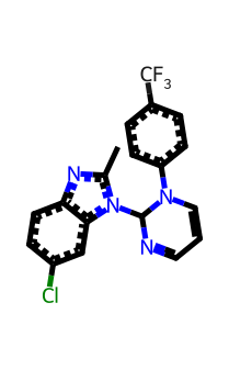 Cc1nc2ccc(Cl)cc2n1C1N=CC=CN1c1ccc(C(F)(F)F)cc1